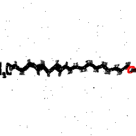 CCCCCCCCCCC=CCCCCCCCC=O